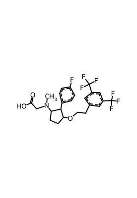 CN(CC(=O)O)C1CCC(OCCc2cc(C(F)(F)F)cc(C(F)(F)F)c2)C1c1ccc(F)cc1